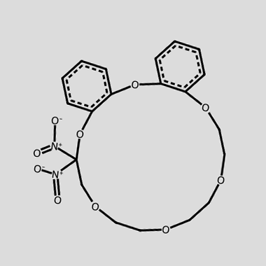 O=[N+]([O-])C1([N+](=O)[O-])COCCOCCOCCOc2ccccc2Oc2ccccc2O1